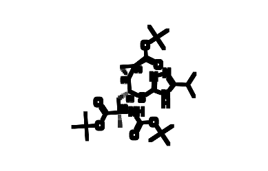 CC(C)c1nnc(S[C@H](C[C@@](C)(NC(=O)OC(C)(C)C)C(=O)OC(C)(C)C)[C@@H]2C[C@H]2C(=O)OC(C)(C)C)[nH]1